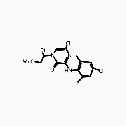 CCC(COC)n1cc(Cl)nc(Nc2c(C)cc(Cl)cc2I)c1=O